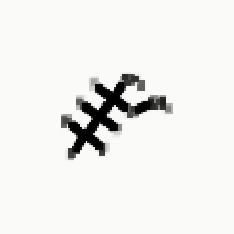 COC(C)(F)C(F)(F)C(F)(F)F